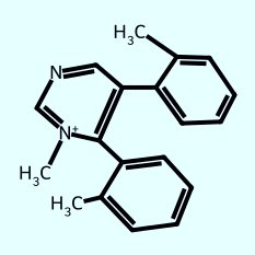 Cc1ccccc1-c1cnc[n+](C)c1-c1ccccc1C